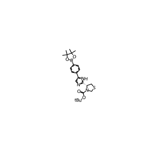 CC(C)(C)OC(=O)N1CSC[C@H]1c1ncc(-c2ccc(B3OC(C)(C)C(C)(C)O3)cc2)[nH]1